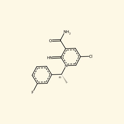 C[C@H](c1cccc(F)c1)n1cc(Cl)cc(C(N)=O)c1=N